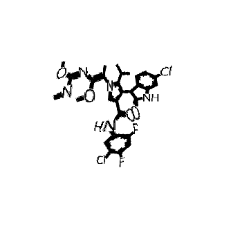 C=N/C(=N\C(OC)=C(/C)n1cc(C(=O)Nc2cc(Cl)c(F)cc2F)c(C2C(=O)Nc3cc(Cl)ccc32)c1C(C)C)OC